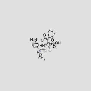 CO/N=C(\C(=O)N[C@@H]1C(=O)N(S(=O)(=O)O)[C@@H]1N1C(=O)OC(C)C1=O)c1csc(N)n1